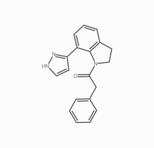 O=C(Cc1ccccc1)N1CCc2cccc(-c3[c]c[nH]n3)c21